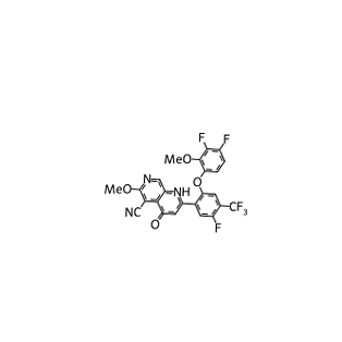 COc1ncc2[nH]c(-c3cc(F)c(C(F)(F)F)cc3Oc3ccc(F)c(F)c3OC)cc(=O)c2c1C#N